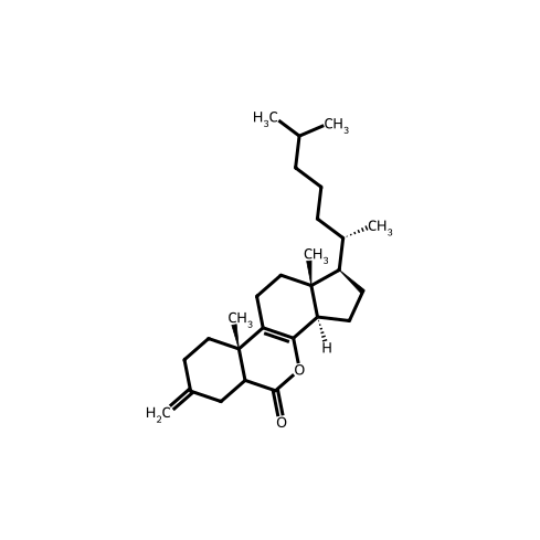 C=C1CC[C@]2(C)C3=C(OC(=O)C2C1)[C@@H]1CC[C@H]([C@@H](C)CCCC(C)C)[C@@]1(C)CC3